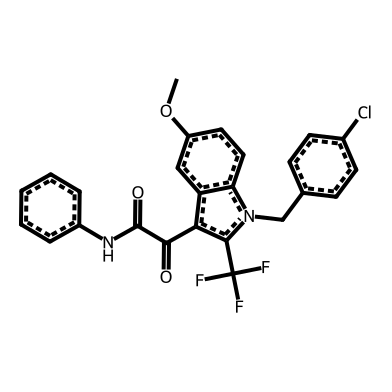 COc1ccc2c(c1)c(C(=O)C(=O)Nc1ccccc1)c(C(F)(F)F)n2Cc1ccc(Cl)cc1